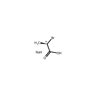 C[C@@H](Br)C(=O)O.[NaH]